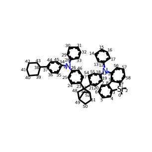 C[Si]1(C)c2ccccc2-c2c(N(c3ccccc3)c3ccc(C4(c5ccc(N(c6ccccc6)c6ccc(C7CCCCC7)cc6)cc5)CC5CCC4C5)cc3)cccc21